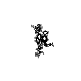 COc1ccc(C2CCCCC2)c2c1cc1n2CC2=C(C(=O)NS(=O)(=O)C(C)C)C2=C2C=CC[C@@H](C(=O)N3C[C@@H]4C[C@H]3CN4CC(C)C)C21